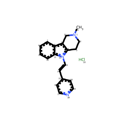 CN1CCc2c(c3ccccc3n2C=Cc2ccncc2)C1.Cl